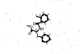 COC(=O)[C@H](Cc1ccccc1)NC(=O)c1ccccc1C